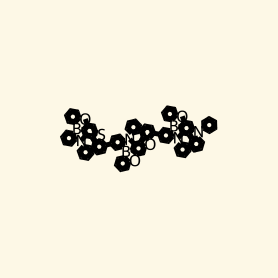 c1ccc(N2c3ccc(-c4cccc5c4sc4cc6c7c(c45)N(c4ccccc4)c4ccccc4B7c4ccccc4O6)cc3B3c4ccccc4Oc4cc5oc6c(-c7ccc8c(c7)B7c9ccccc9Oc9cc%10c(c(c97)N8c7ccccc7)c7ccccc7n%10-c7ccccc7)cccc6c5c2c43)cc1